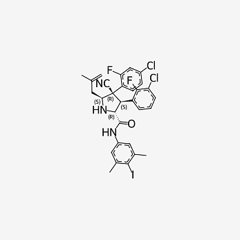 C=C(C)C[C@@H]1N[C@@H](C(=O)Nc2cc(C)c(I)c(C)c2)[C@H](c2cccc(Cl)c2F)[C@@]1(C#N)c1ccc(Cl)cc1F